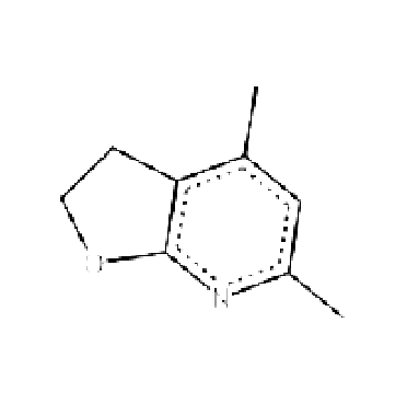 Cc1cc(C)c2c(n1)OCC2